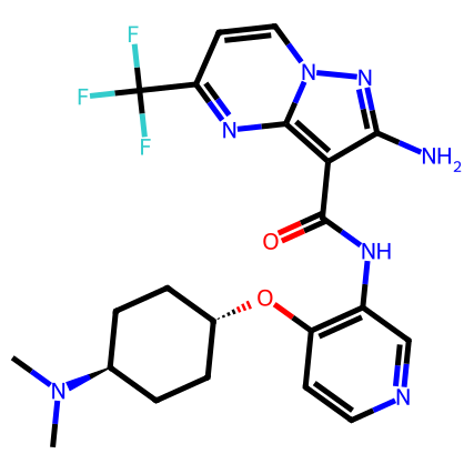 CN(C)[C@H]1CC[C@H](Oc2ccncc2NC(=O)c2c(N)nn3ccc(C(F)(F)F)nc23)CC1